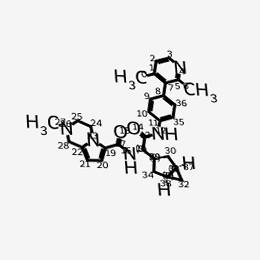 Cc1ccnc(C)c1-c1ccc(NC(=O)[C@@H](NC(=O)c2ccc3n2CCN(C)C3)[C@H]2C[C@H]3C[C@H]3C2)cc1